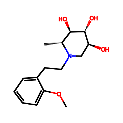 COc1ccccc1CCN1C[C@H](O)[C@@H](O)[C@H](O)[C@H]1C